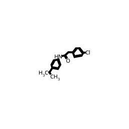 CC(C)c1ccc(NC(=O)Cc2ccc(Cl)cc2)cc1